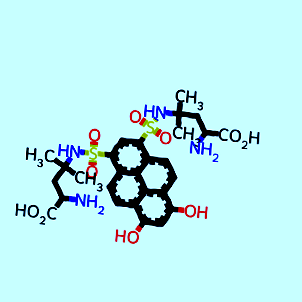 CC(C)(CC(N)C(=O)O)NS(=O)(=O)c1cc(S(=O)(=O)NC(C)(C)CC(N)C(=O)O)c2ccc3c(O)cc(O)c4ccc1c2c43